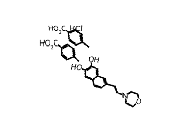 Cc1ccc(C(=O)O)cc1.Cc1ccc(C(=O)O)cc1.Cl.Oc1cc2ccc(CCN3CCOCC3)cc2cc1O